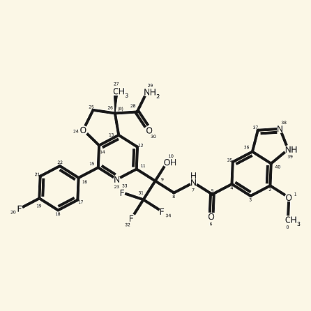 COc1cc(C(=O)NCC(O)(c2cc3c(c(-c4ccc(F)cc4)n2)OC[C@]3(C)C(N)=O)C(F)(F)F)cc2cn[nH]c12